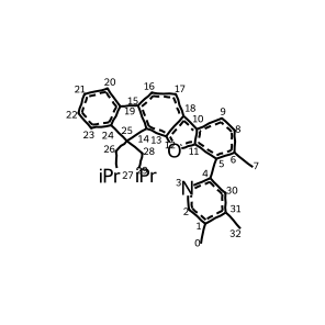 Cc1cnc(-c2c(C)ccc3c2oc2c4c(ccc23)-c2ccccc2C4(CC(C)C)CC(C)C)cc1C